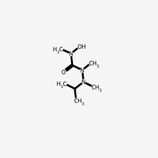 CC(C)N(C)N(C)C(=O)N(C)O